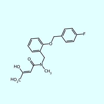 CN(Cc1ccccc1OCc1ccc(F)cc1)C(=O)/C=C(\O)C(=O)O